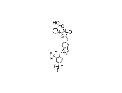 O=C1N=C(N2CCC[C@@H]2C(=O)O)S/C1=C\c1ccc2c(cnn2Cc2ccc(C(F)(F)F)cc2C(F)(F)F)c1